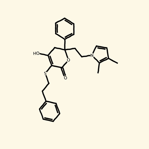 Cc1ccn(CCC2(c3ccccc3)CC(O)=C(SCCc3ccccc3)C(=O)O2)c1C